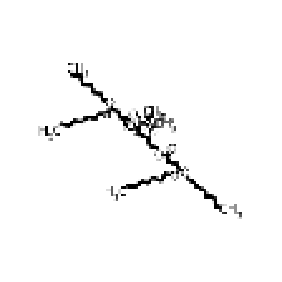 CCCCCCCCOC(CCC(=O)OCCC(CCOC(=O)CCC(OCCCCCCCC)OCCCCCCCC)O[Si](C)(C)C(C)(C)C)OCCCCCCCC